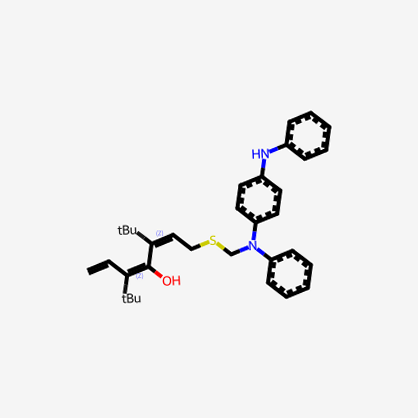 C=C/C(=C(O)\C(=C/CSCN(c1ccccc1)c1ccc(Nc2ccccc2)cc1)C(C)(C)C)C(C)(C)C